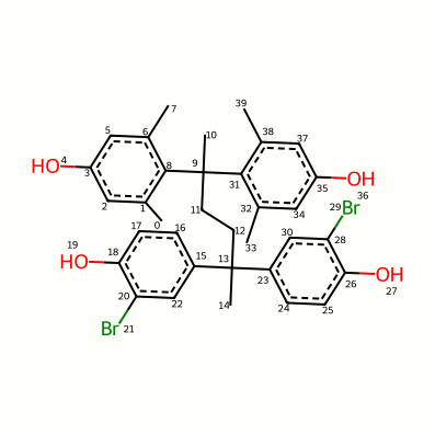 Cc1cc(O)cc(C)c1C(C)(CCC(C)(c1ccc(O)c(Br)c1)c1ccc(O)c(Br)c1)c1c(C)cc(O)cc1C